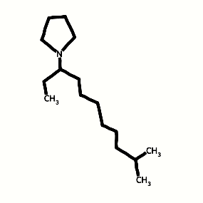 CCC(CCCCCCC(C)C)N1CCCC1